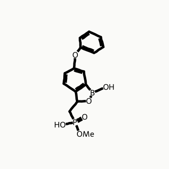 COP(=O)(O)CC1OB(O)c2cc(Oc3ccccc3)ccc21